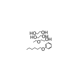 CCCCCCOc1ccccc1.CCOCCO.OCCO.OCCO